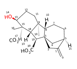 C=C1C[C@]23C[C@H]1CC[C@H]2[C@]1(C)CC[C@H](O)[C@@](C)(C(=O)O)[C@H]1[C@@H]3C(=O)O